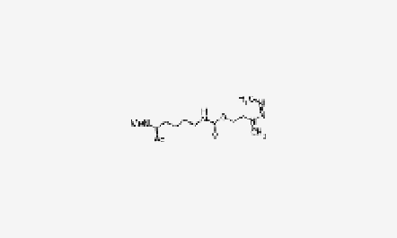 C/N=N\N(C)CCOC(=O)NCCCCC(NC)C(C)=O